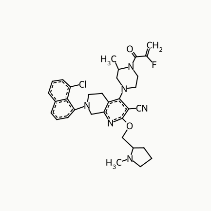 C=C(F)C(=O)N1CCN(c2c(C#N)c(OCC3CCCN3C)nc3c2CCN(c2cccc4cccc(Cl)c24)C3)CC1C